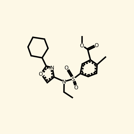 CCN(c1coc(C2CCCCC2)n1)S(=O)(=O)c1ccc(C)c(C(=O)OC)c1